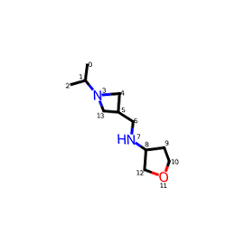 CC(C)N1CC(CNC2CCOC2)C1